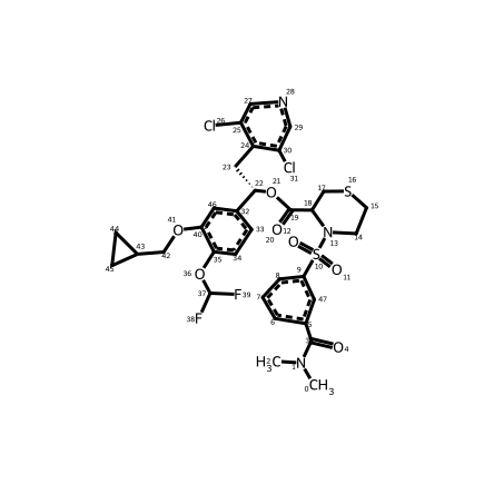 CN(C)C(=O)c1cccc(S(=O)(=O)N2CCSCC2C(=O)O[C@@H](Cc2c(Cl)cncc2Cl)c2ccc(OC(F)F)c(OCC3CC3)c2)c1